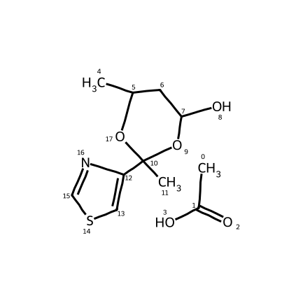 CC(=O)O.CC1CC(O)OC(C)(c2cscn2)O1